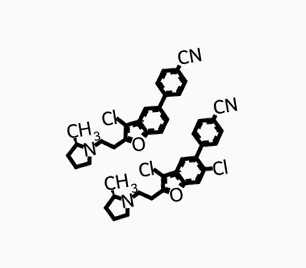 C[C@@H]1CCCN1CCc1oc2cc(Cl)c(-c3ccc(C#N)cc3)cc2c1Cl.C[C@@H]1CCCN1CCc1oc2ccc(-c3ccc(C#N)cc3)cc2c1Cl